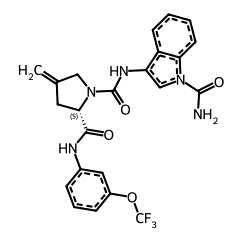 C=C1C[C@@H](C(=O)Nc2cccc(OC(F)(F)F)c2)N(C(=O)Nc2cn(C(N)=O)c3ccccc23)C1